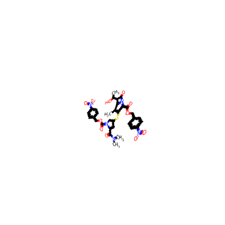 CC(O)C1C(=O)N2C(C(=O)OCc3ccc([N+](=O)[O-])cc3)=C(SC3CC(C(=O)N(C)C)N(C(=O)OCc4ccc([N+](=O)[O-])cc4)C3)C(C)C12